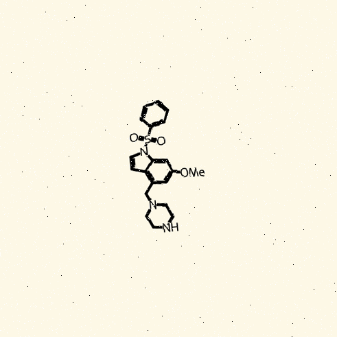 COc1cc(CN2CCNCC2)c2ccn(S(=O)(=O)c3ccccc3)c2c1